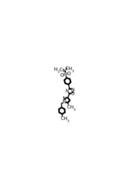 Cc1ccc(Cn2nc(-c3nc(-c4ccc(S(=O)(=O)N(C)C)cc4)no3)cc2C)cc1